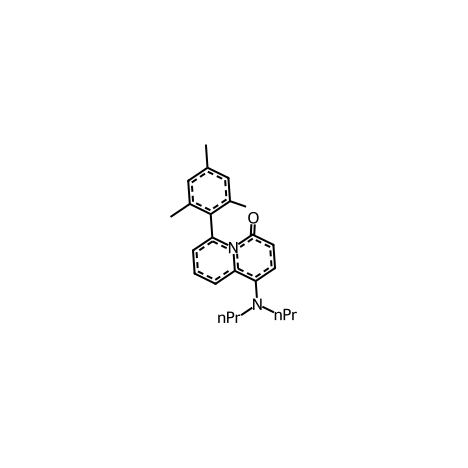 CCCN(CCC)c1ccc(=O)n2c(-c3c(C)cc(C)cc3C)cccc12